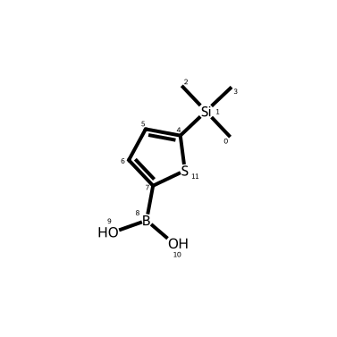 C[Si](C)(C)c1ccc(B(O)O)s1